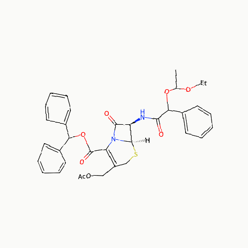 CCOC(C)OC(C(=O)N[C@@H]1C(=O)N2C(C(=O)OC(c3ccccc3)c3ccccc3)=C(COC(C)=O)CS[C@H]12)c1ccccc1